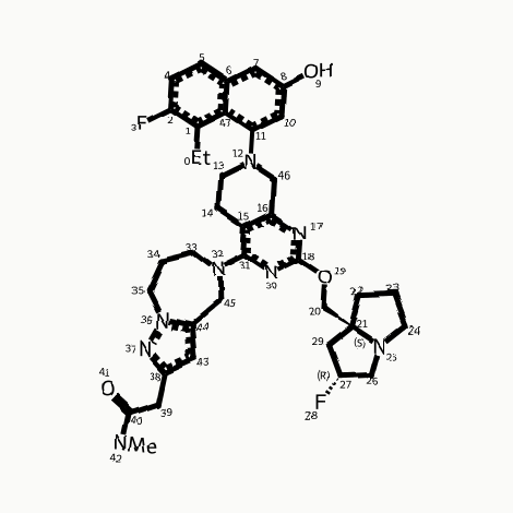 CCc1c(F)ccc2cc(O)cc(N3CCc4c(nc(OC[C@@]56CCCN5C[C@H](F)C6)nc4N4CCCn5nc(CC(=O)NC)cc5C4)C3)c12